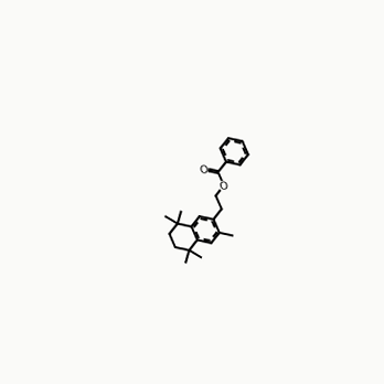 Cc1cc2c(cc1CCOC(=O)c1ccccc1)C(C)(C)CCC2(C)C